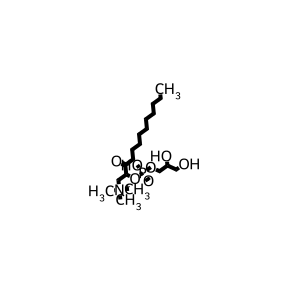 CCCCCCCCCCC(=O)C(C[N+](C)(C)C)OP(=O)(O)OCC(O)CO